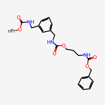 CCCOC(=O)NCc1cccc(CNC(=O)OCCCNC(=O)OCc2ccccc2)c1